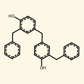 Oc1ccc(Cc2ccc(O)c(Cc3ccccc3)c2)cc1Cc1ccccc1